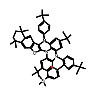 CC(C)(C)c1ccc(N2c3cc(C(C)(C)C)cc4c3B(c3cc(C(C)(C)C)ccc3N4c3ccc(C(C)(C)C)cc3-c3ccc([Si](C)(C)C)cc3)c3oc4cc5c(cc4c32)C(C)(C)CCC5(C)C)cc1